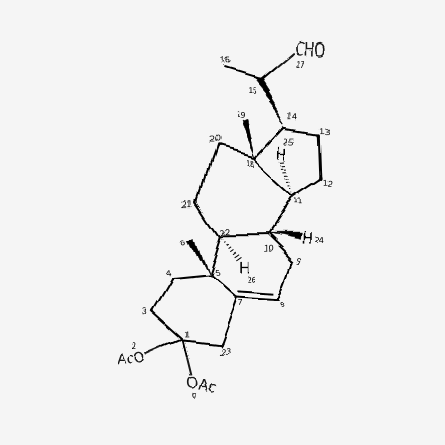 CC(=O)OC1(OC(C)=O)CC[C@@]2(C)C(=CC[C@H]3[C@@H]4CC[C@H](C(C)C=O)[C@@]4(C)CC[C@@H]32)C1